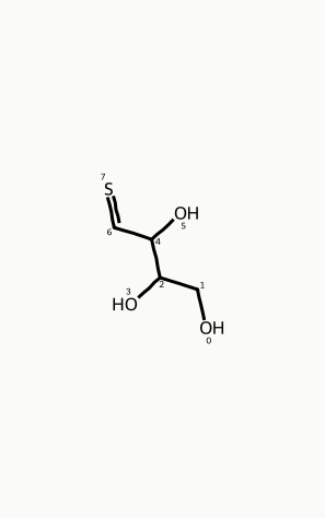 OCC(O)C(O)C=S